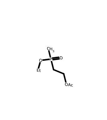 CCOP(C)(=O)CCOC(C)=O